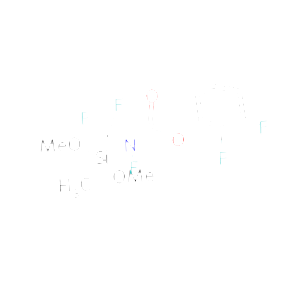 CO[Si](C)(OC)C(F)(F)N(F)C(=O)Oc1cccc(F)c1F